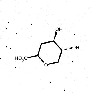 O=C(O)C1C[C@@H](O)[C@H](O)CO1